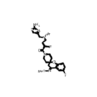 CCCN(CCC(F)C(=O)N1CCC2(CC1)C/C(=N\OC)c1cc(F)ccc1O2)Cc1csc(N)n1